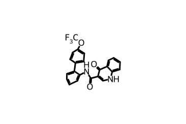 O=C(Nc1ccccc1-c1ccc(OC(F)(F)F)cc1)c1c[nH]c2ccccc2c1=O